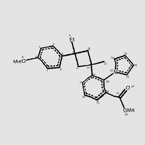 CCC1(c2ccc(OC)cc2)CC(C)(c2cccc(C(=O)OC)c2-n2cccc2)C1